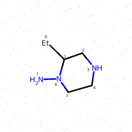 CCC1CNCCN1N